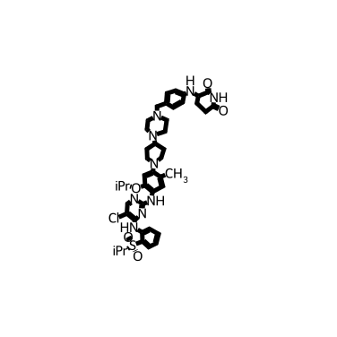 Cc1cc(Nc2ncc(Cl)c(Nc3ccccc3S(=O)(=O)C(C)C)n2)c(OC(C)C)cc1N1CCC(N2CCN(Cc3ccc(NC4CCC(=O)NC4=O)cc3)CC2)CC1